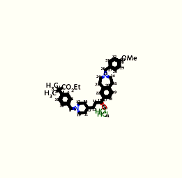 CCOC(=O)C(C)(C)c1ccc(CN2CCC(CCC(=O)c3ccc4c(c3)CCN(Cc3ccc(OC)cc3)CC4)CC2)cc1.Cl.Cl